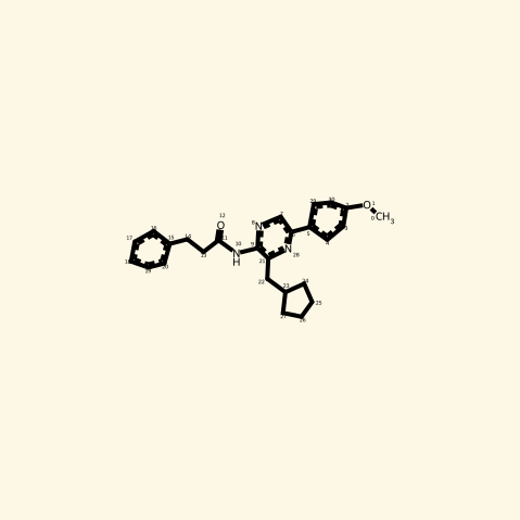 COc1ccc(-c2cnc(NC(=O)CCc3ccccc3)c(CC3CCCC3)n2)cc1